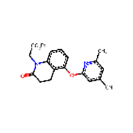 CCOC(=O)CN1C(=O)CCc2c(Oc3cc(C#N)cc(C)n3)cccc21